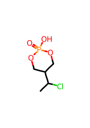 CC(Cl)C1COP(=O)(O)OC1